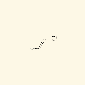 C=CC.[C]